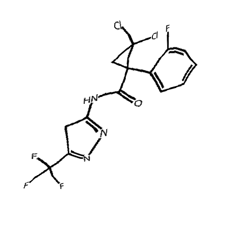 O=C(NC1=NN=C(C(F)(F)F)C1)C1(c2ccccc2F)CC1(Cl)Cl